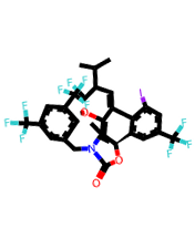 C/C=C(OC)\C(=C/C(CF)C(C)C)c1c(I)cc(C(F)(F)F)cc1[C@H]1OC(=O)N(Cc2cc(C(F)(F)F)cc(C(F)(F)F)c2)C1C